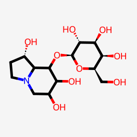 OC[C@H]1O[C@@H](OC2C(O)C(O)CN3CC[C@H](O)C23)[C@H](O)[C@@H](O)[C@H]1O